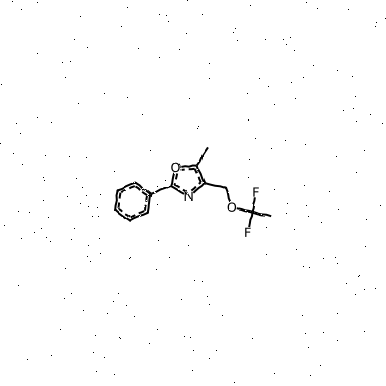 Cc1oc(-c2ccccc2)nc1COC(C)(F)F